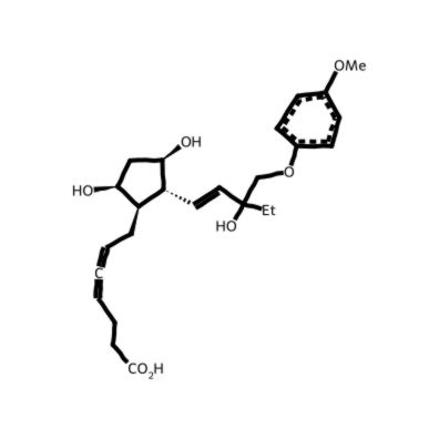 CCC(O)(C=C[C@@H]1[C@@H](CC=C=CCCC(=O)O)[C@@H](O)C[C@H]1O)COc1ccc(OC)cc1